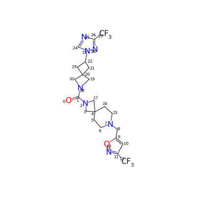 O=C(N1CC2(CCN(Cc3cc(C(F)(F)F)no3)CC2)C1)N1CC2(CC(n3cnc(C(F)(F)F)n3)C2)C1